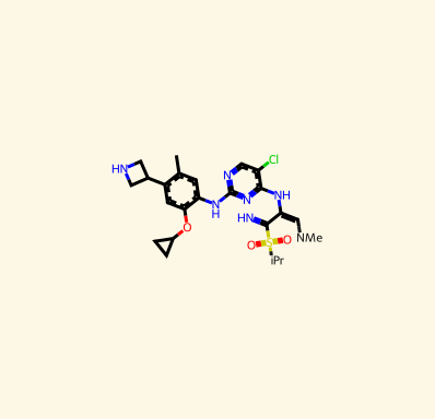 CN/C=C(/Nc1nc(Nc2cc(C)c(C3CNC3)cc2OC2CC2)ncc1Cl)C(=N)S(=O)(=O)C(C)C